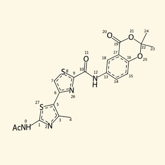 CC(=O)Nc1nc(C)c(-c2csc(C(=O)Nc3ccc4c(c3)C(=O)OC(C)(C)O4)n2)s1